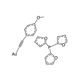 COc1ccc(C#[C][Au])cc1.c1coc(P(c2ccco2)c2ccco2)c1